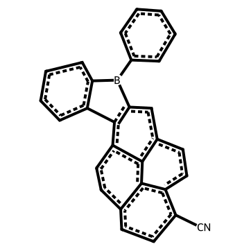 N#Cc1ccc2ccc3c4c(cc5ccc1c2c53)B(c1ccccc1)c1ccccc1-4